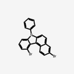 Brc1ccc2c(ccc3c2c2c(Br)cccc2n3-c2ccccc2)c1